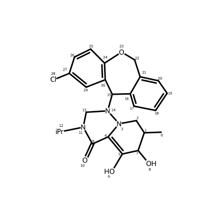 CC1CN2C(=C(O)C1O)C(=O)N(C(C)C)CN2C1c2ccccc2COc2ccc(Cl)cc21